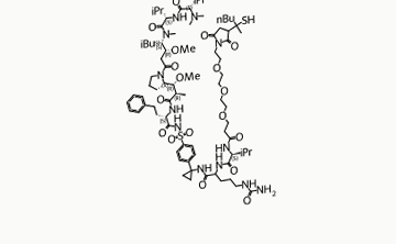 CCCCC(C)(S)C1CC(=O)N(CCOCCOCCOCCC(=O)N[C@H](C(=O)NC(CCCNC(N)=O)C(=O)NC2(c3ccc(S(=O)(=O)NC(=O)[C@H](CCc4ccccc4)NC(=O)[C@H](C)[C@@H](OC)[C@@H]4CCCN4C(=O)C[C@@H](OC)[C@H]([C@@H](C)CC)N(C)C(=O)[C@@H](NC(=O)[C@H](C(C)C)N(C)C)C(C)C)cc3)CC2)C(C)C)C1=O